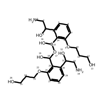 NCC(O)c1cccc(OCCCO)c1B(O)OC(O)c1c(OCCCO)cccc1C(O)CN